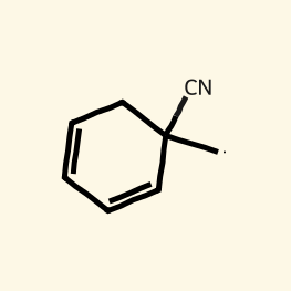 [CH2]C1(C#N)C=CC=CC1